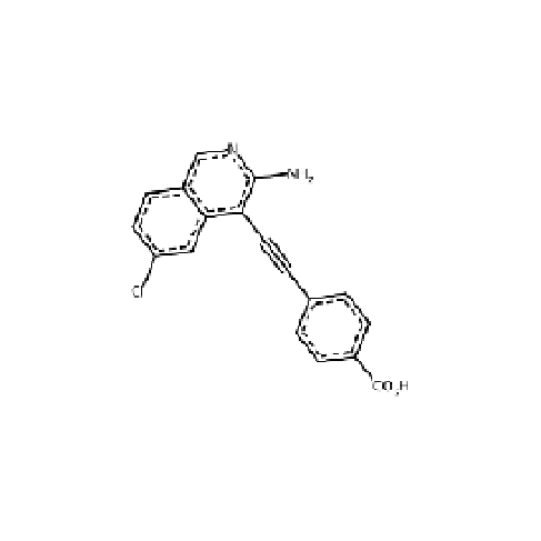 Nc1ncc2ccc(Cl)cc2c1C#Cc1ccc(C(=O)O)cc1